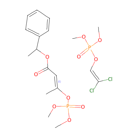 COP(=O)(OC)O/C(C)=C/C(=O)OC(C)c1ccccc1.COP(=O)(OC)OC=C(Cl)Cl